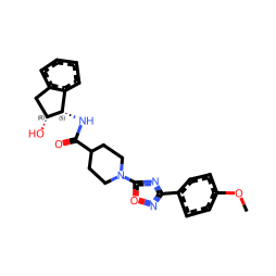 COc1ccc(-c2noc(N3CCC(C(=O)N[C@H]4c5ccccc5C[C@H]4O)CC3)n2)cc1